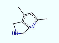 Cc1cc(C)c2c(n1)CNC2